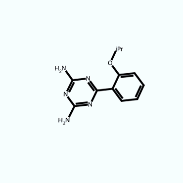 CC(C)Oc1ccccc1-c1nc(N)nc(N)n1